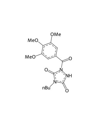 CCCCn1c(=O)[nH]n(C(=O)c2cc(OC)c(OC)c(OC)c2)c1=O